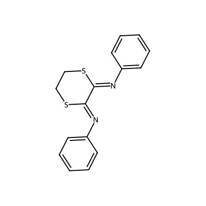 c1ccc(N=C2SCCSC2=Nc2ccccc2)cc1